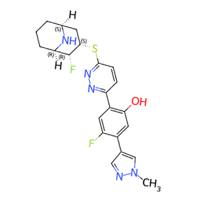 Cn1cc(-c2cc(O)c(-c3ccc(S[C@H]4C[C@@H]5CCC[C@@H](N5)[C@H]4F)nn3)cc2F)cn1